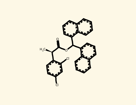 C[C@@H](C(=O)OC(c1cccc2ccccc12)c1cccc2ccccc12)c1ccc(Cl)cc1Cl